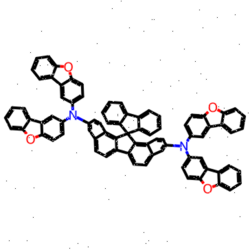 c1ccc2c(c1)-c1ccccc1C21c2c(ccc3cc(N(c4ccc5oc6ccccc6c5c4)c4ccc5oc6ccccc6c5c4)ccc23)-c2ccc3cc(N(c4ccc5oc6ccccc6c5c4)c4ccc5oc6ccccc6c5c4)ccc3c21